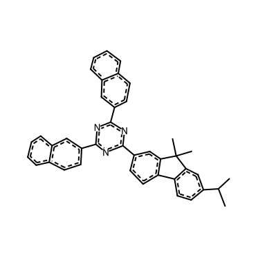 CC(C)c1ccc2c(c1)C(C)(C)c1cc(-c3nc(-c4ccc5ccccc5c4)nc(-c4ccc5ccccc5c4)n3)ccc1-2